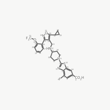 O=C(O)c1cc(F)c2nc(N3CCC(NCc4c(-c5ccccc5OC(F)(F)F)noc4C4CC4)CC3)sc2c1